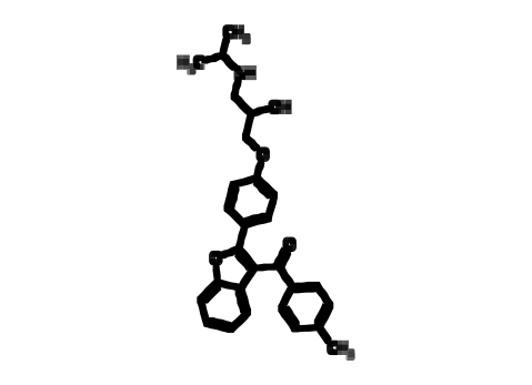 Cc1ccc(C(=O)c2c(-c3ccc(OCC(O)CNC(C)C)cc3)oc3ccccc23)cc1